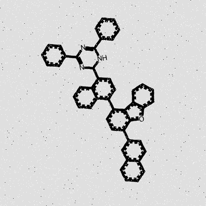 c1ccc(C2=NC(c3ccc(-c4ccc(-c5ccc6ccccc6c5)c5oc6ccccc6c45)c4ccccc34)NC(c3ccccc3)=N2)cc1